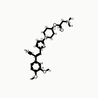 COc1ccc(C(C#N)=Cc2ccc(N3CCC(OC(=O)CN(C)C)CC3)s2)cc1OC